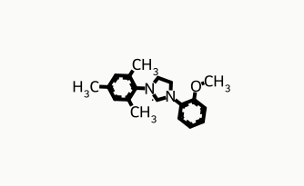 COc1ccccc1N1[CH]N(c2c(C)cc(C)cc2C)CC1